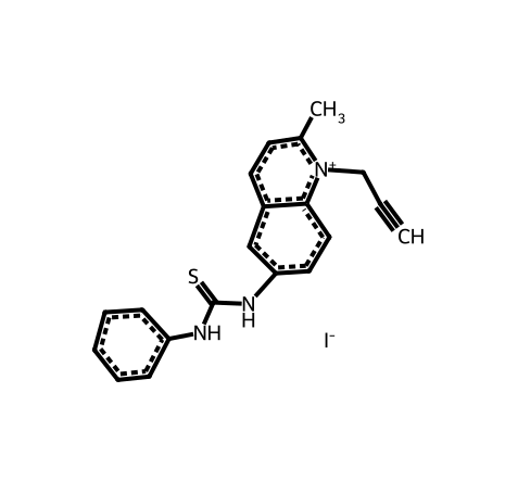 C#CC[n+]1c(C)ccc2cc(NC(=S)Nc3ccccc3)ccc21.[I-]